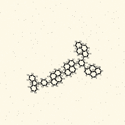 c1cc2ccc3ccc(-c4cc(-c5ccc6ccc7cccc8ccc5c6c78)cc(-c5ccc6ccc7c(-c8ccc9ccc%10c(-c%11ccc(-n%12c%13ccccc%13c%13ccccc%13%12)cc%11)ccc%11ccc8c9c%11%10)ccc8ccc5c6c87)c4)c4ccc(c1)c2c34